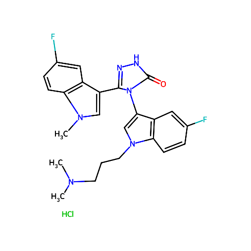 CN(C)CCCn1cc(-n2c(-c3cn(C)c4ccc(F)cc34)n[nH]c2=O)c2cc(F)ccc21.Cl